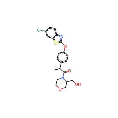 CC(C(=O)N1CCOCC1CO)c1ccc(Oc2nc3ccc(Cl)cc3s2)cc1